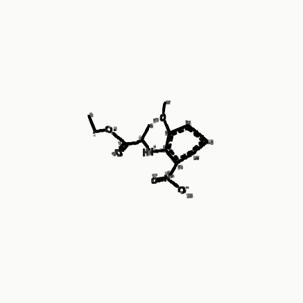 CCOC(=O)C(C)Nc1c(OC)cccc1[N+](=O)[O-]